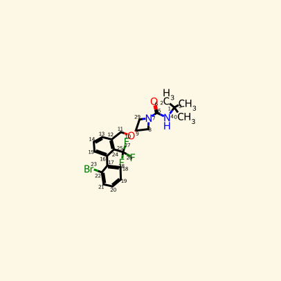 CC(C)(C)NC(=O)N1CC(OCc2cccc(-c3ccccc3Br)c2C(F)(F)F)C1